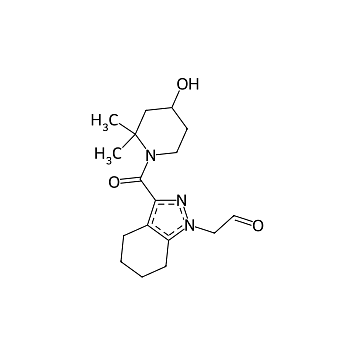 CC1(C)CC(O)CCN1C(=O)c1nn(CC=O)c2c1CCCC2